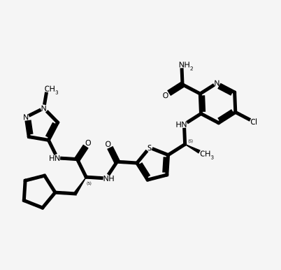 C[C@H](Nc1cc(Cl)cnc1C(N)=O)c1ccc(C(=O)N[C@@H](CC2CCCC2)C(=O)Nc2cnn(C)c2)s1